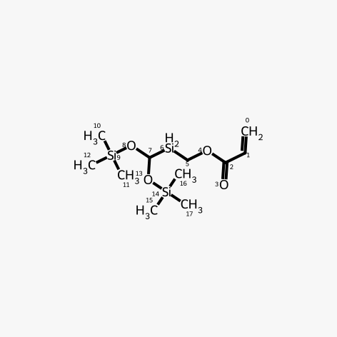 C=CC(=O)OC[SiH2]C(O[Si](C)(C)C)O[Si](C)(C)C